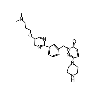 CN(C)CCCOC1C=NC(c2cccc(Cn3nc(N4CCNCC4)ccc3=O)c2)=NC1